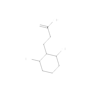 O=C(O)CCC1C(O)C[CH]CC1O